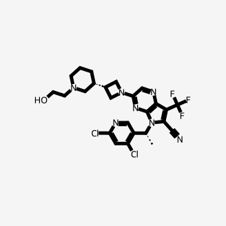 C[C@H](c1cnc(Cl)cc1Cl)n1c(C#N)c(C(F)(F)F)c2ncc(N3CC([C@H]4CCCN(CCO)C4)C3)nc21